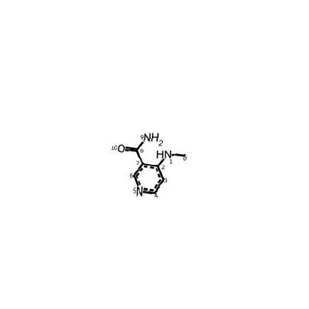 CNc1ccncc1C(N)=O